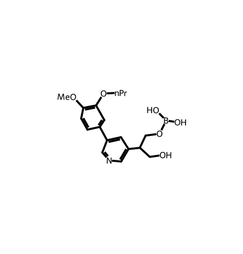 CCCOc1cc(-c2cncc(C(CO)COB(O)O)c2)ccc1OC